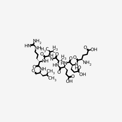 CC(C)C[C@@H]([C]=O)NC(=O)[C@H](CCCNC(=N)N)NC(=O)[C@@H](NC(=O)[C@H](C)NC(=O)[C@H](CCC(=O)O)NC(=O)[C@H](CCC(=O)O)NC(=O)[C@@H](N)CCC(=O)O)C(C)C